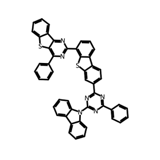 c1ccc(-c2nc(-c3ccc4c(c3)sc3c(-c5nc(-c6ccccc6)c6sc7ccccc7c6n5)cccc34)nc(-n3c4ccccc4c4ccccc43)n2)cc1